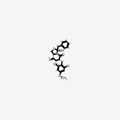 COc1cc(Cl)c(C[C@H](CC=O)C(=O)N2CCO[C@]2(O)Cc2ccccc2)c(Cl)c1